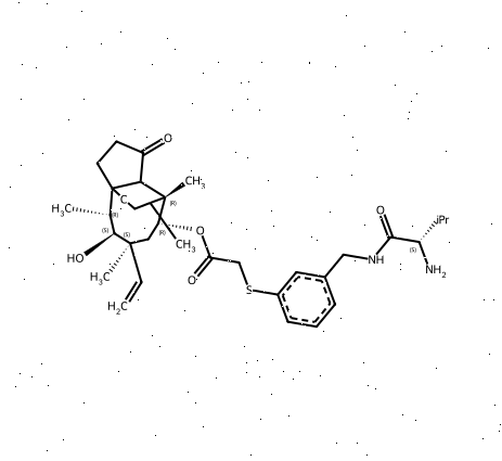 C=C[C@]1(C)C[C@@H](OC(=O)CSc2cccc(CNC(=O)[C@@H](N)C(C)C)c2)[C@]2(C)C(C)CCC3(CCC(=O)C32)[C@@H](C)[C@@H]1O